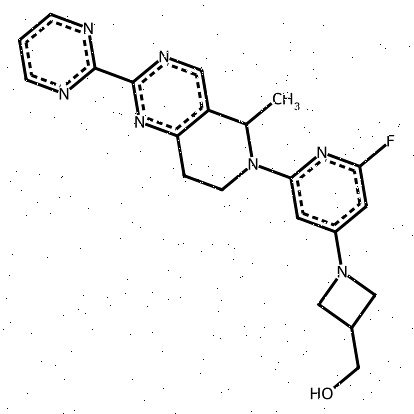 CC1c2cnc(-c3ncccn3)nc2CCN1c1cc(N2CC(CO)C2)cc(F)n1